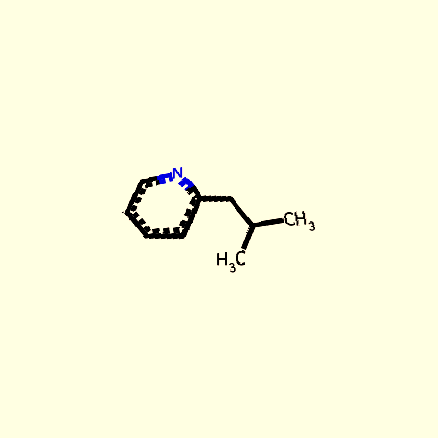 CC(C)Cc1cc[c]cn1